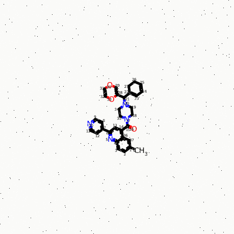 Cc1ccc2nc(-c3ccncc3)cc(C(=O)N3CCN(C(C4=CC=CCC4)C4=COC=CO4)CC3)c2c1